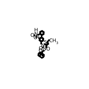 CCc1cc2c(=O)n(CC(=O)C34CC5CC(CC(C5)C3)C4)c(=O)n(Cc3ccc(-c4ccccc4-c4noc(=O)[nH]4)cc3)c2s1